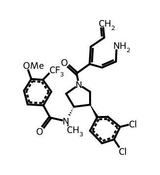 C=C/C=C(\C=C/N)C(=O)N1C[C@@H](N(C)C(=O)c2ccc(OC)c(C(F)(F)F)c2)[C@H](c2ccc(Cl)c(Cl)c2)C1